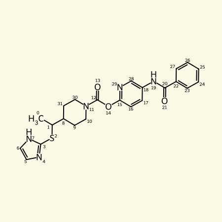 CC(Sc1ncc[nH]1)C1CCN(C(=O)Oc2ccc(NC(=O)c3ccccc3)cn2)CC1